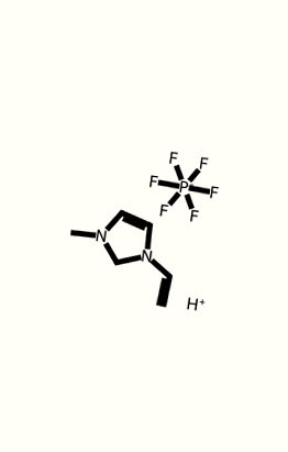 C=CN1C=CN(C)C1.F[P-](F)(F)(F)(F)F.[H+]